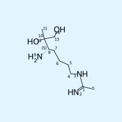 CC(=N)NCCCC[C@H](N)C(C)(O)CO